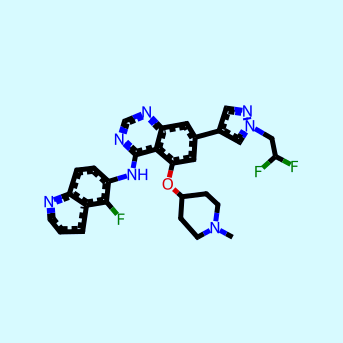 CN1CCC(Oc2cc(-c3cnn(CC(F)F)c3)cc3ncnc(Nc4ccc5ncccc5c4F)c23)CC1